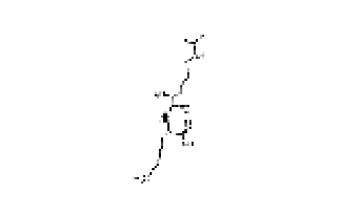 CC(C)NCCCC[C@H](N)C(=O)N[C@@H](CCCCN)C(=O)O